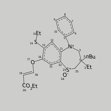 CCCCC1(CC)CN(c2ccccc2)c2cc(SCC)c(O/C=C/C(=O)OCC)cc2[S+]([O-])C1